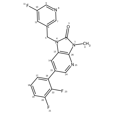 Cn1c(=O)n(Cc2cncc(F)c2)c2cc(-c3cccc(F)c3F)cnc21